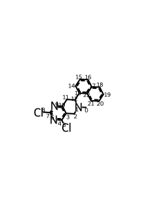 CN1Cc2c(Cl)nc(Cl)nc2CC1c1cccc2ccccc12